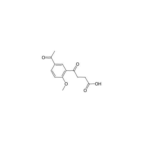 COc1ccc(C(C)=O)cc1C(=O)CCC(=O)O